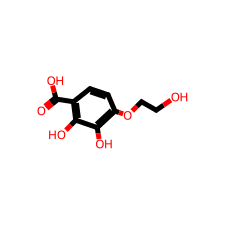 O=C(O)c1ccc(OCCO)c(O)c1O